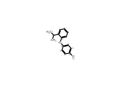 CC(C)c1ccccc1Oc1ccc(Cl)cc1